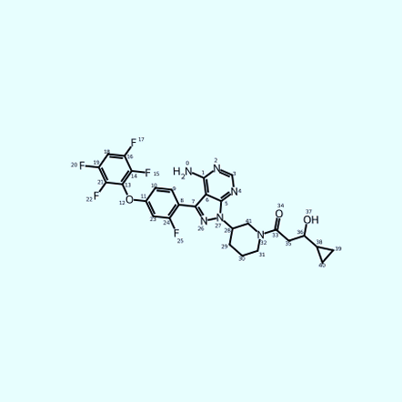 Nc1ncnc2c1c(-c1ccc(Oc3c(F)c(F)cc(F)c3F)cc1F)nn2C1CCCN(C(=O)CC(O)C2CC2)C1